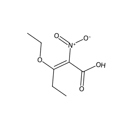 CCOC(CC)=C(C(=O)O)[N+](=O)[O-]